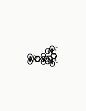 O=[N+]([O-])c1ccc(S(=O)(=O)OCc2c([N+](=O)[O-])cccc2[N+](=O)[O-])cc1